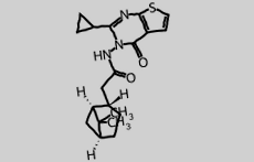 CC1(C)[C@H]2CC[C@@H](CC(=O)Nn3c(C4CC4)nc4sccc4c3=O)[C@@H]1C2